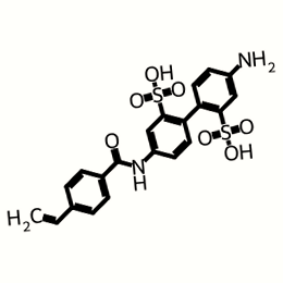 C=Cc1ccc(C(=O)Nc2ccc(-c3ccc(N)cc3S(=O)(=O)O)c(S(=O)(=O)O)c2)cc1